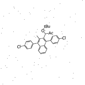 CC(=O)C(OC(C)(C)C)c1c(C)c(-c2ccc(Cl)cc2)c2ccccc2c1-c1ccc(Cl)cc1